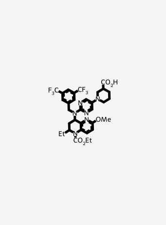 CCOC(=O)N1c2ccc(OC)nc2C(N(Cc2cc(C(F)(F)F)cc(C(F)(F)F)c2)c2ncc(N3CCCC(C(=O)O)C3)cn2)CC1CC